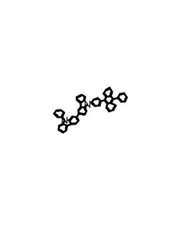 c1ccc(-c2c3ccccc3c(-c3ccc(-n4c5ccccc5c5cc(-c6ccc7c8ccccc8n(-c8ccccc8)c7c6)ccc54)cc3)c3ccccc23)cc1